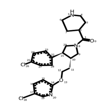 O=C(C1CCNCC1)N1C[C@H](CCOc2ccc(Cl)cn2)[C@@H](c2ccc(Cl)cc2)C1